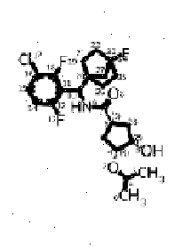 CC(C)O[C@@H]1C[C@@H](C(=O)NC(c2c(F)ccc(Cl)c2F)C23CCC(F)(CC2)C3)C[C@@H]1O